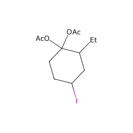 CCC1CC(I)CCC1(OC(C)=O)OC(C)=O